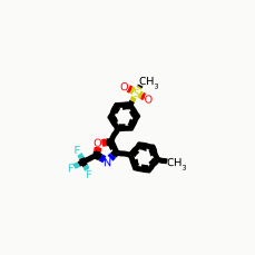 Cc1ccc(-c2nc(C(F)(F)F)oc2-c2ccc(S(C)(=O)=O)cc2)cc1